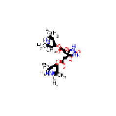 CC1(C)CC(OC(=O)CCC2(CCC(=O)OC3CC(C)(C)NC(C)(C)C3)C(=O)NC(=O)NC2=O)CC(C)(C)N1